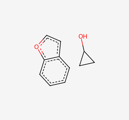 OC1CC1.c1ccc2occc2c1